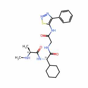 CN[C@@H](C)C(=O)N[C@H](C(=O)NCC(=O)Nc1snnc1-c1ccccc1)C1CCCCC1